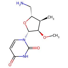 CO[C@@H]1[C@H](C)[C@@H](CN)O[C@H]1n1ccc(=O)[nH]c1=O